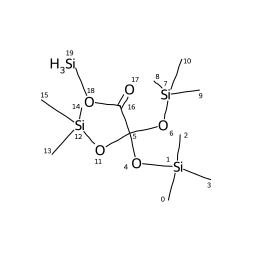 C[Si](C)(C)OC(O[Si](C)(C)C)(O[Si](C)(C)C)C(=O)O[SiH3]